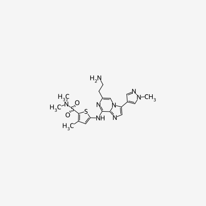 Cc1cc(Nc2nc(CCN)cn3c(-c4cnn(C)c4)cnc23)sc1S(=O)(=O)N(C)C